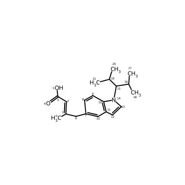 CC(=CC(=O)O)Cc1ccc2c(ccn2C(C(C)C)C(C)C)c1